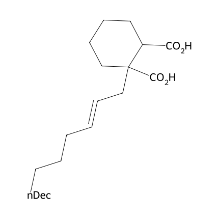 CCCCCCCCCCCCCC=CCC1(C(=O)O)CCCCC1C(=O)O